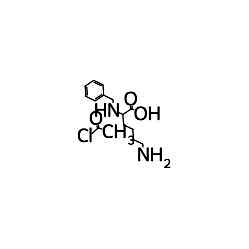 CC(=O)Cl.NCCCCC(NCc1ccccc1)C(=O)O